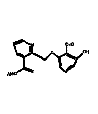 COC(=S)c1cccnc1COc1cccc(O)c1C=O